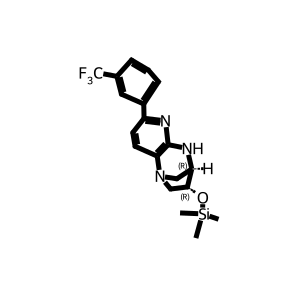 C[Si](C)(C)O[C@@H]1CN2C[C@H]1Nc1nc(-c3cccc(C(F)(F)F)c3)ccc12